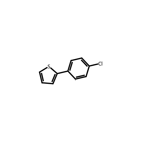 Clc1c[c]c(-c2cccs2)cc1